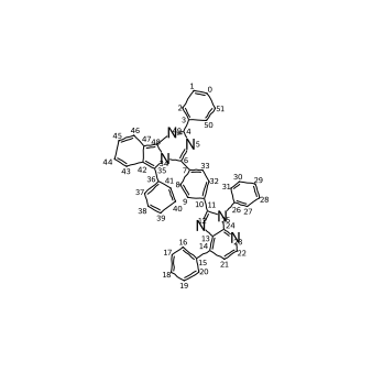 c1ccc(-c2nc(-c3ccc(-c4nc5c(-c6ccccc6)ccnc5n4-c4ccccc4)cc3)n3c(-c4ccccc4)c4ccccc4c3n2)cc1